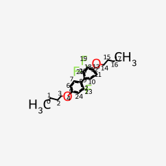 CCCCOc1ccc(-c2ccc(OCCCC)c(F)c2F)c(F)c1